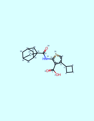 O=C(O)c1c(C2CCC2)csc1NC(=O)C12CC3CC(CC1C3)C2